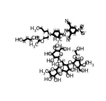 CCCCN(CCOC(C)=O)c1ccc(N=Nc2c(C#N)cc([N+](=O)[O-])cc2C#N)c(C)c1.COC1C(CO)OC(OCC2OC(OC3C(CO)OC(C)C(O)C3O)C(O)C(O)C2OC2OC(CO)C(OC)C(O)C2OCCO)C(O)C1O.[CH2]CCCO